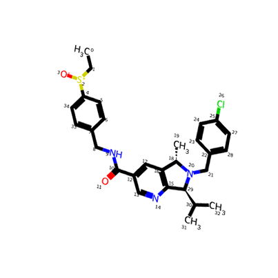 CC[S+]([O-])c1ccc(CNC(=O)c2cnc3c(c2)[C@H](C)N(Cc2ccc(Cl)cc2)[C@H]3C(C)C)cc1